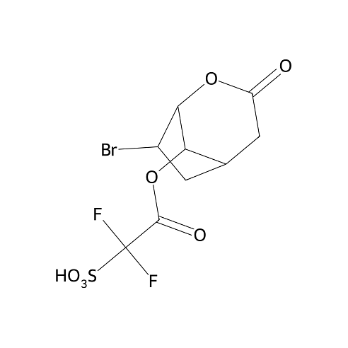 O=C1CC2CC(Br)C(O1)C2OC(=O)C(F)(F)S(=O)(=O)O